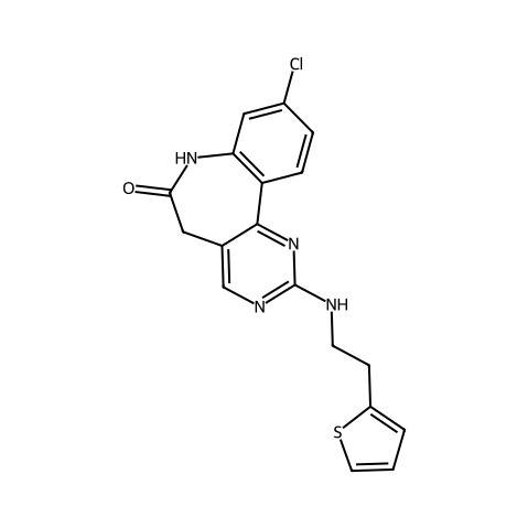 O=C1Cc2cnc(NCCc3cccs3)nc2-c2ccc(Cl)cc2N1